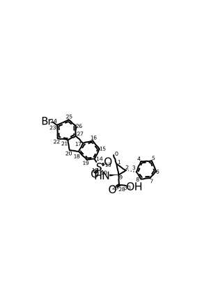 CC1[C@H](c2ccccc2)[C@]1(NS(=O)(=O)c1ccc2c(c1)Cc1cc(Br)ccc1-2)C(=O)O